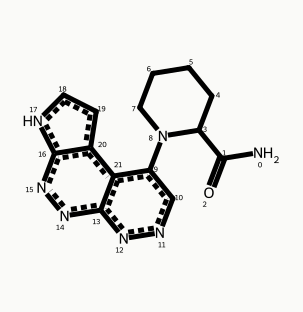 NC(=O)C1[CH]CCCN1c1cnnc2nnc3[nH]ccc3c12